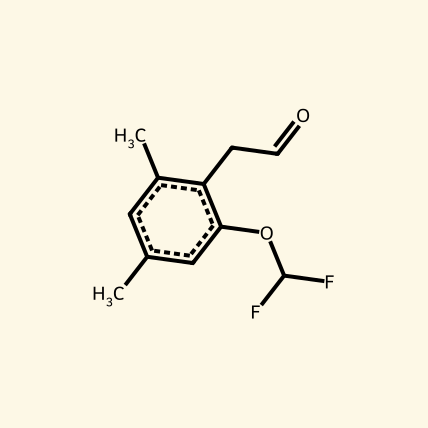 Cc1cc(C)c(CC=O)c(OC(F)F)c1